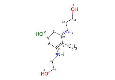 CC1=C(NCCO)CCCC1=NCCO.Cl